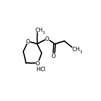 CCC(=O)OC1(C)COCCO1.Cl